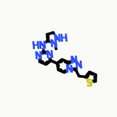 CN1NCC=C1Nc1nccc(-c2ccn3c(Cc4cccs4)nnc3c2)n1